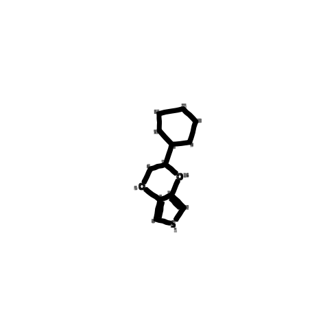 c1scc2c1OCC(C1CCCCC1)O2